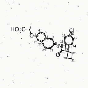 O=C(O)COc1ccc2cc(NC(=O)C3(c4ccc(Cl)cc4)CCC3)ccc2c1